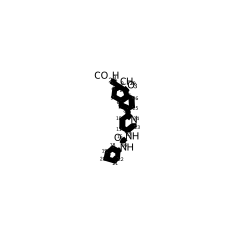 CC1(CC(=O)O)CCc2cc(-c3ccc(NC(=O)Nc4ccccc4)cn3)ccc2C1=O